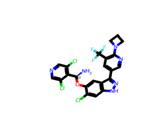 N[C@@H](Oc1cc2c(-c3cnc(N4CCC4)c(C(F)(F)F)c3)n[nH]c2cc1Cl)c1c(Cl)cncc1Cl